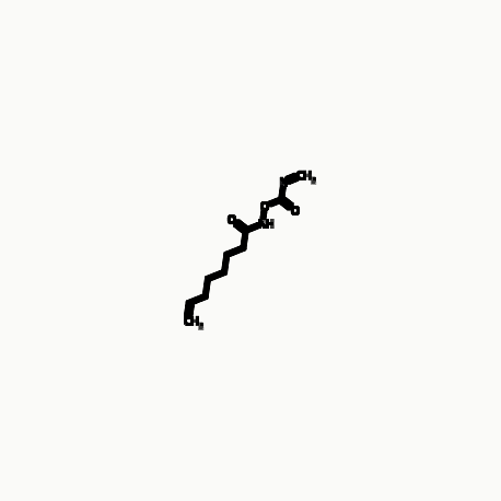 C=CCCCCCC(=O)NOC(=O)N=C